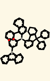 C1=CC2=C(CC1)c1c(N(c3cccc(-n4c5ccccc5c5ccccc54)c3)c3ccc4ccccc4c3-c3ccccc3)cccc1C2(c1ccccc1)c1ccccc1